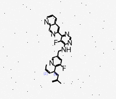 C=C(C)/C=C(\C=C/C)c1ncc(CNc2ncnc(-c3cc4cccnc4cn3)c2F)cc1F